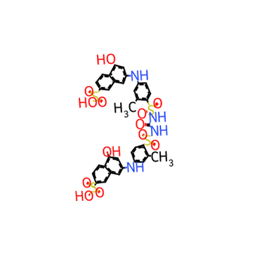 Cc1cc(Nc2cc(O)c3ccc(S(=O)(=O)O)cc3c2)ccc1S(=O)(=O)NC(=O)NS(=O)(=O)c1ccc(Nc2cc(O)c3ccc(S(=O)(=O)O)cc3c2)cc1C